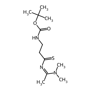 CC(=NC(=S)CCNC(=O)OC(C)(C)C)N(C)C